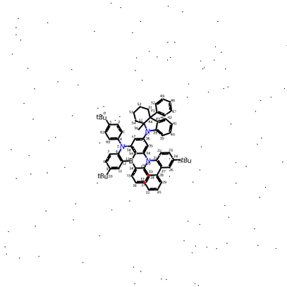 CC(C)(C)c1ccc(N2c3ccc(C(C)(C)C)cc3B3c4ccccc4N(c4ccc(C(C)(C)C)cc4-c4ccccc4)c4cc(N5c6ccccc6C6(c7ccccc7)CCCCC56C)cc2c43)cc1